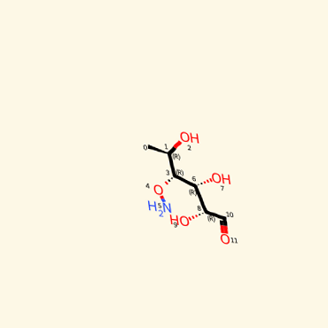 C[C@@H](O)[C@@H](ON)[C@H](O)[C@@H](O)C=O